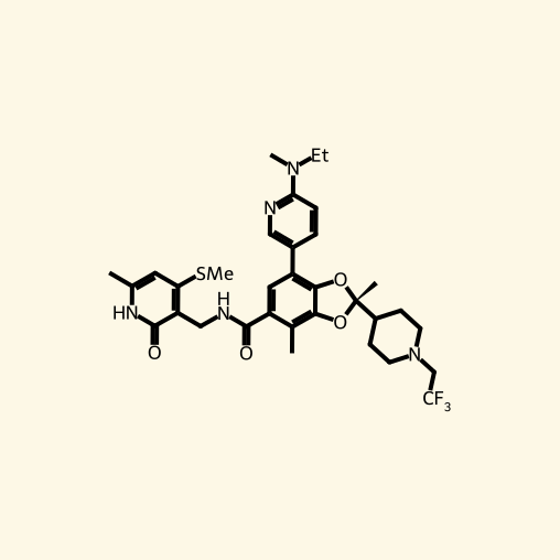 CCN(C)c1ccc(-c2cc(C(=O)NCc3c(SC)cc(C)[nH]c3=O)c(C)c3c2O[C@](C)(C2CCN(CC(F)(F)F)CC2)O3)cn1